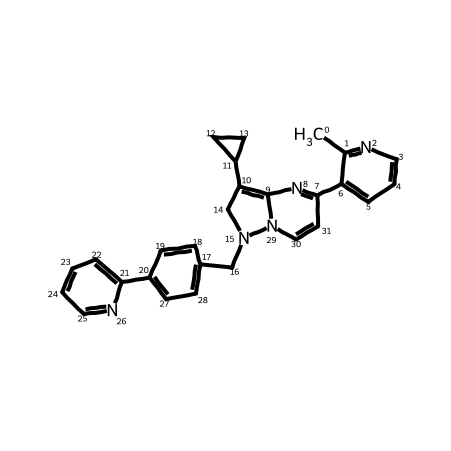 Cc1ncccc1C1=NC2=C(C3CC3)CN(Cc3ccc(-c4ccccn4)cc3)N2C=C1